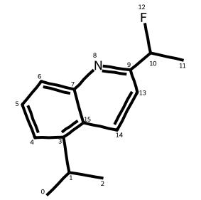 CC(C)c1cccc2nc(C(C)F)ccc12